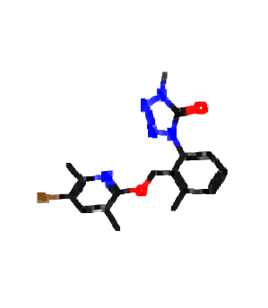 Cc1cc(Br)c(C)nc1OCc1c(C)cccc1-n1nnn(C)c1=O